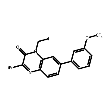 CC(C)c1nc2ccc(-c3cccc(OC(F)(F)F)c3)cc2n(CI)c1=O